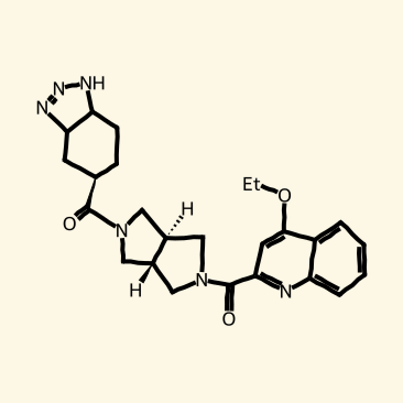 CCOc1cc(C(=O)N2C[C@@H]3CN(C(=O)[C@@H]4CCC5NN=NC5C4)C[C@H]3C2)nc2ccccc12